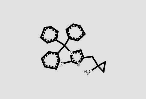 Cc1nc(CC2(C)CC2)cn1C(c1ccccc1)(c1ccccc1)c1ccccc1